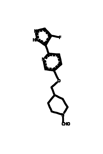 O=CN1CCC(COc2ccc(-c3[nH]ncc3F)nc2)CC1